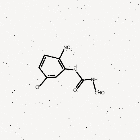 O=CNC(=O)Nc1cc(Cl)ccc1[N+](=O)[O-]